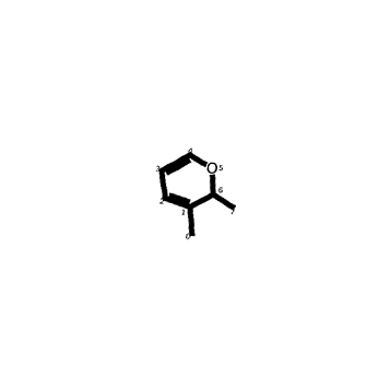 CC1=CC=COC1C